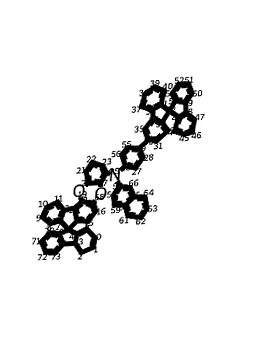 C1=CCC2C(=C1)C1(c3ccccc3-c3c1ccc1c3Oc3cccc(N(c4ccc(-c5ccc6c(c5)-c5ccccc5C65c6ccccc6-c6ccccc65)cc4)c4ccc5ccccc5c4)c3O1)c1ccccc12